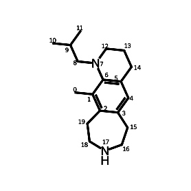 Cc1c2c(cc3c1N(CC(C)C)CCC3)CCNCC2